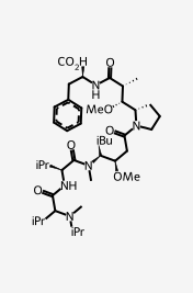 CC[C@H](C)[C@@H]([C@@H](CC(=O)N1CCC[C@H]1[C@H](OC)[C@@H](C)C(=O)N[C@@H](Cc1ccccc1)C(=O)O)OC)N(C)C(=O)[C@@H](NC(=O)C(C(C)C)N(C)C(C)C)C(C)C